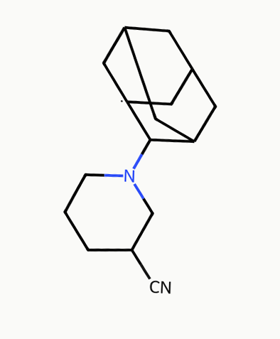 N#CC1CCCN(C2[C]3CC4CC(C3)CC2C4)C1